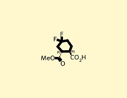 COC(=O)[C@@H]1CC(F)(F)CC[C@H]1C(=O)O